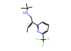 C/C=C(/CNC(C)(C)C)c1cccc(C(F)(F)F)n1